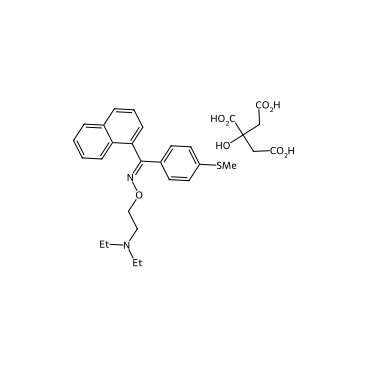 CCN(CC)CCON=C(c1ccc(SC)cc1)c1cccc2ccccc12.O=C(O)CC(O)(CC(=O)O)C(=O)O